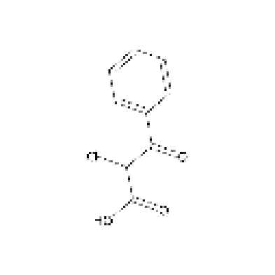 O=C(O)C(Cl)C(=O)c1ccccc1